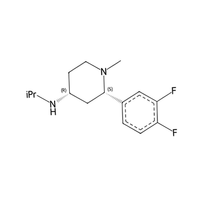 CC(C)N[C@@H]1CCN(C)[C@H](c2ccc(F)c(F)c2)C1